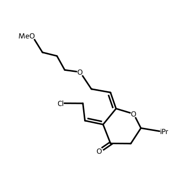 COCCCOC/C=C1/OC(C(C)C)CC(=O)/C1=C/CCl